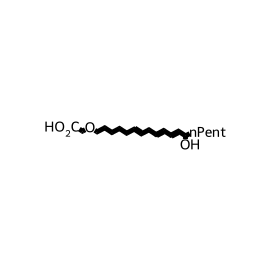 CCCCCC(O)C=CC=CC/C=C/CCCCCOCC(=O)O